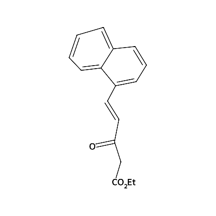 CCOC(=O)CC(=O)/C=C/c1cccc2ccccc12